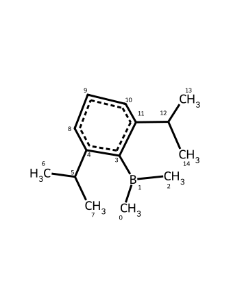 CB(C)c1c(C(C)C)cccc1C(C)C